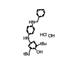 CC(C)(C)c1cc(Nc2ccc(NCc3ccccc3)cc2)cc(C(C)(C)C)c1O.Cl.Cl